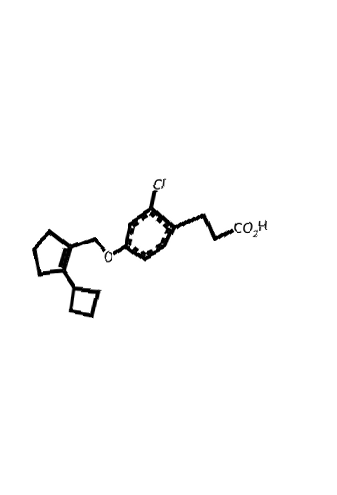 O=C(O)CCc1ccc(OCC2=C(C3CCC3)CCC2)cc1Cl